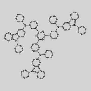 c1ccc(N(c2cccc(-c3nc(-c4cccc(N(c5ccccc5)c5ccc6c(c5)c5ccccc5n6-c5ccccc5)c4)nc(-c4cccc(N(c5ccccc5)c5ccc6c(c5)c5ccccc5n6-c5ccccc5)c4)n3)c2)c2ccc3c(c2)c2ccccc2n3-c2ccccc2)cc1